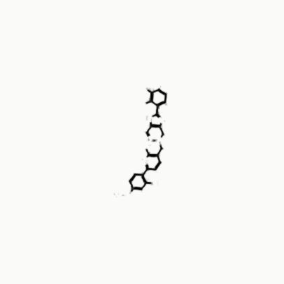 COc1ccc(-c2ccc(CN3Cc4nc(-c5cccc(F)c5F)[nH]c4C=N3)c(Cl)n2)c(C(F)(F)F)c1